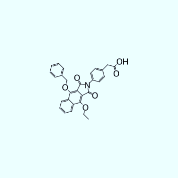 CCOc1c2c(c(OCc3ccccc3)c3ccccc13)C(=O)N(c1ccc(CC(=O)O)cc1)C2=O